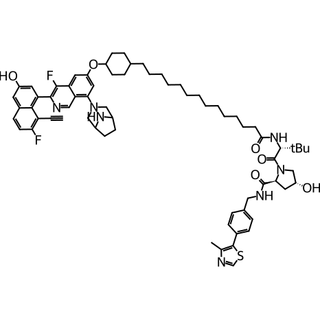 C#Cc1c(F)ccc2cc(O)cc(-c3ncc4c(N5CC6CCC(C5)N6)cc(OC5CCC(CCCCCCCCCCCCCC(=O)N[C@@H](C(=O)N6C[C@H](O)C[C@H]6C(=O)NCc6ccc(-c7scnc7C)cc6)C(C)(C)C)CC5)cc4c3F)c12